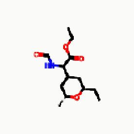 CCOC(=O)C(NC=O)C1C[C@@H](CC)O[C@H](C)C1